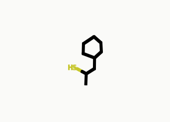 CC(S)CC1CCCCC1